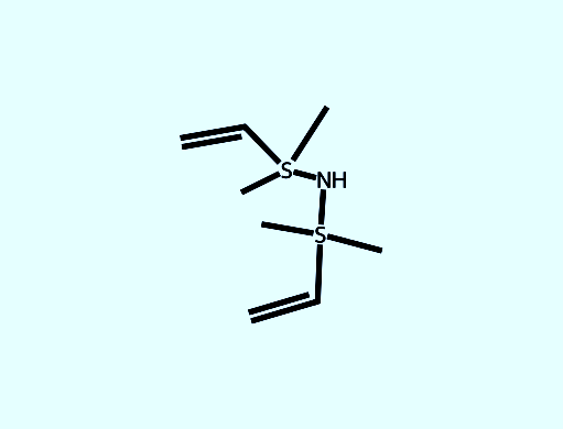 C=CS(C)(C)NS(C)(C)C=C